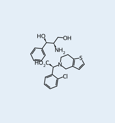 N[C@H](CO)[C@H](O)c1ccccc1.O=C(O)[C@H](c1ccccc1Cl)N1CCc2sccc2C1